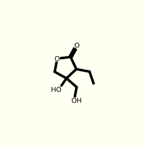 CCC1C(=O)OCC1(O)CO